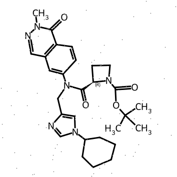 Cn1ncc2cc(N(Cc3cn(C4CCCCC4)cn3)C(=O)[C@H]3CCN3C(=O)OC(C)(C)C)ccc2c1=O